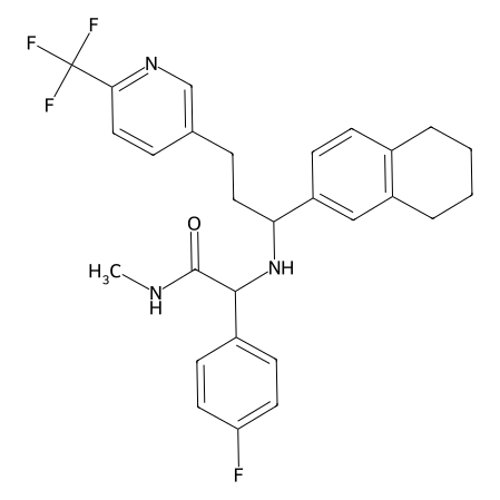 CNC(=O)C(NC(CCc1ccc(C(F)(F)F)nc1)c1ccc2c(c1)CCCC2)c1ccc(F)cc1